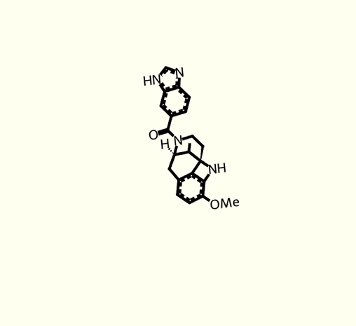 COc1ccc2c3c1N[C@]31CCN(C(=O)c3ccc4nc[nH]c4c3)[C@H](C2)C1C